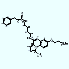 COCCOc1ccc2c(c1)nc(NCCCCNC(=O)OCc1ccccc1)c1nnc(C)n12